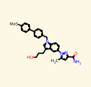 CSc1ccc(-c2ccc(Cn3cc(CCCO)c4cc(-n5nc(C(N)=O)cc5C)ccc43)cc2)cc1